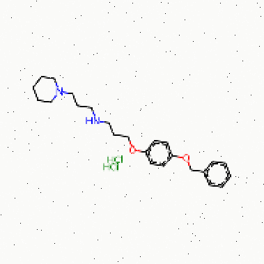 Cl.Cl.c1ccc(COc2ccc(OCCCNCCCN3CCCCC3)cc2)cc1